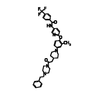 Cc1cc(N2CCC(CC(=O)N3CCN(CCc4ccccc4)CC3)CC2)ccc1Oc1ccc(NC(=O)c2ccc(C(F)(F)F)cc2)cn1